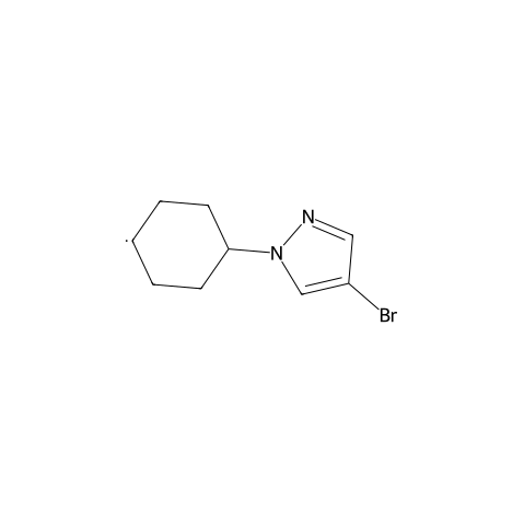 Brc1cnn(C2CC[CH]CC2)c1